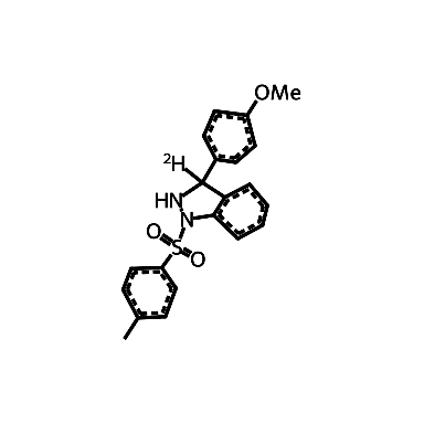 [2H]C1(c2ccc(OC)cc2)NN(S(=O)(=O)c2ccc(C)cc2)c2ccccc21